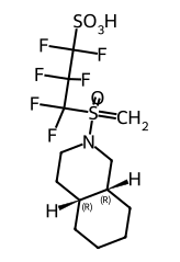 C=S(=O)(N1CC[C@H]2CCCC[C@H]2C1)C(F)(F)C(F)(F)C(F)(F)S(=O)(=O)O